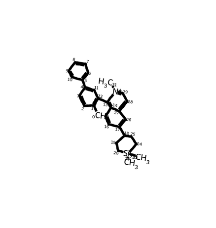 Cc1ccc(-c2ccccc2)cc1-c1c2ccc(C3CC[Si](C)(C)CC3)cc2cc[n+]1C